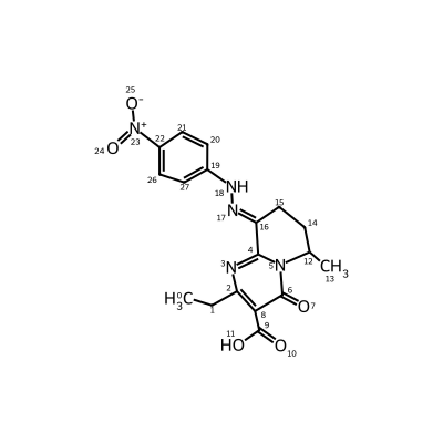 CCc1nc2n(c(=O)c1C(=O)O)C(C)CCC2=NNc1ccc([N+](=O)[O-])cc1